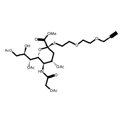 C#CCOCCOCCS[C@@]1(C(=O)OC)C[C@H](OC(C)=O)[C@@H](NC(=O)COC(C)=O)[C@H]([C@H](OC(C)=O)[C@H](O)COC(C)=O)O1